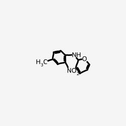 Cc1ccc(NC2C=CC=CO2)c([N+](=O)[O-])c1